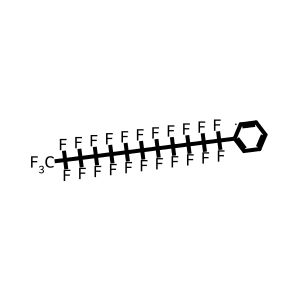 FC(F)(F)C(F)(F)C(F)(F)C(F)(F)C(F)(F)C(F)(F)C(F)(F)C(F)(F)C(F)(F)C(F)(F)C(F)(F)C(F)(F)c1[c]cccc1